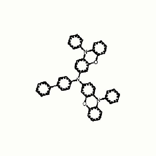 c1ccc(-c2ccc(N(c3ccc4c(c3)Oc3ccccc3N4c3ccccc3)c3ccc4c(c3)Oc3ccccc3N4c3ccccc3)cc2)cc1